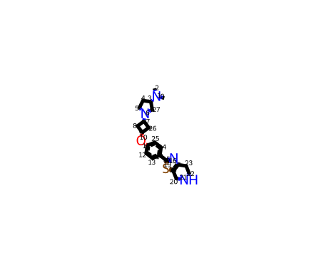 CN(C)C1CCN(C2CC(Oc3ccc(-c4nc5c(s4)CNCC5)cc3)C2)C1